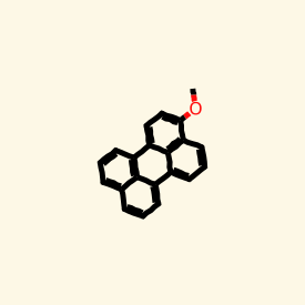 COc1ccc2c3cccc4cccc(c5cccc1c52)c43